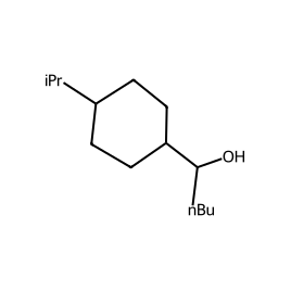 CCCCC(O)C1CCC(C(C)C)CC1